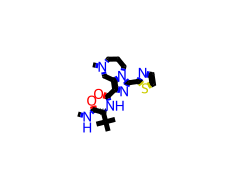 CNC(=O)[C@@H](NC(=O)c1nc(-c2nccs2)n2c1CN(C)CCC2)C(C)(C)C